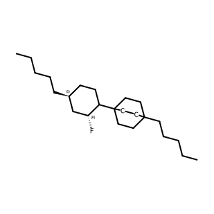 CCCCC[C@H]1CCC(C23CCC(CCCCC)(CC2)CC3)[C@H](F)C1